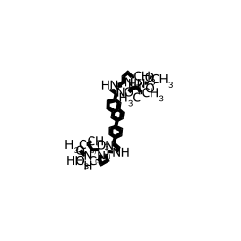 COC(=O)N[C@H](C(=O)N1C(C)CCC1c1nc(-c2ccc3cc(-c4ccc(-c5c[nH]c([C@@H]6CC[C@H](C)N6C(=O)[C@@H](NC(=O)O)C(C)C)n5)cc4)ccc3c2)c[nH]1)C(C)C